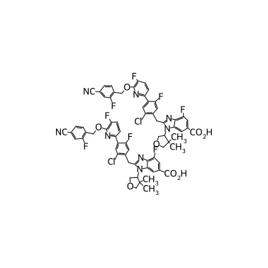 CC1(C)COCC1n1c(Cc2cc(F)c(-c3ccc(F)c(OCc4ccc(C#N)cc4F)n3)cc2Cl)nc2c(F)cc(C(=O)O)cc21.CC1(C)COCC1n1c(Cc2cc(F)c(-c3ccc(F)c(OCc4ccc(C#N)cc4F)n3)cc2Cl)nc2c(F)cc(C(=O)O)cc21